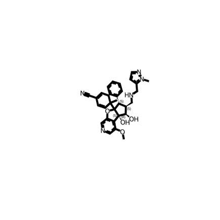 COc1cncc2c1[C@]1(O)[C@H](O)[C@H](CNCc3ccnn3C)[C@@H](c3ccccc3)C1(C1(C)C=CC(C#N)=CC1)O2